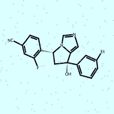 CCc1cccc([C@@]2(O)C[C@H](c3ccc(C#N)cc3F)n3cncc32)c1